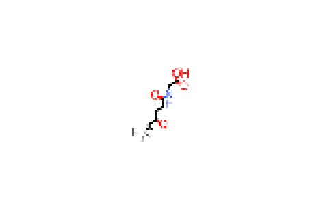 CCC(=O)CCC(=O)NCC(=O)O